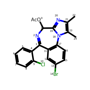 CC(=O)OC1N=C(c2ccccc2Cl)c2cc(Br)ccc2-n2c1nc(C)c2C